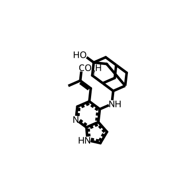 CC(=Cc1cnc2[nH]ccc2c1NC1C2CC3CC1CC(O)(C3)C2)C(=O)O